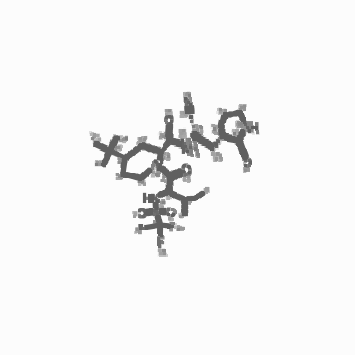 CC(C)C(NS(=O)(=O)C(F)(F)F)C(=O)N1CC[C@@H](C(C)(C)C)C[C@H]1C(=O)N[C@H](C#N)C[C@@H]1CCNC1=O